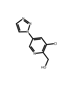 OCc1ncc(-n2ccnn2)cc1Cl